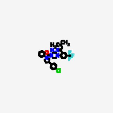 CC(C)C[C@H](N)c1cc(C(F)(F)F)ccc1N1CCN(C(=O)[N+]2(c3ccccc3)CCC(c3ccc(Cl)cc3)C2)CC1